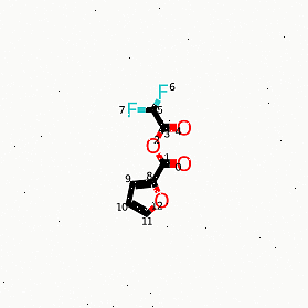 O=C(OC(=O)C(F)F)c1ccco1